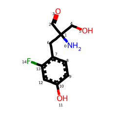 NC(C=O)(CO)Cc1ccc(O)cc1F